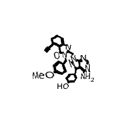 C#Cc1cccc2nc(Cn3nc(-c4ccc(O)cc4)c4c(N)ncnc43)n(Cc3ccc(OC)cc3)c(=O)c12